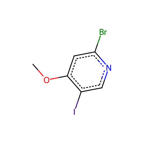 COc1cc(Br)ncc1I